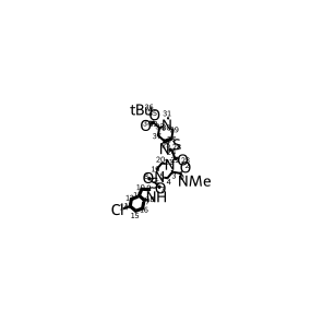 CNC(=O)C1CN(S(=O)(=O)c2cc3cc(Cl)ccc3[nH]2)CCN1C(=O)c1nc2c(s1)CN(C)C(C(=O)OC(C)(C)C)C2